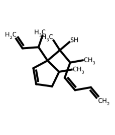 C=C/C=C\C(C)C(C)(S)C1(C(C)C=C)C=CCC1C